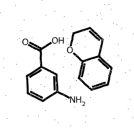 C1=Cc2ccccc2OC1.Nc1cccc(C(=O)O)c1